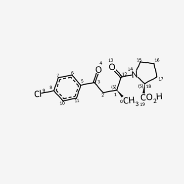 C[C@@H](CC(=O)c1ccc(Cl)cc1)C(=O)N1CCC[C@H]1C(=O)O